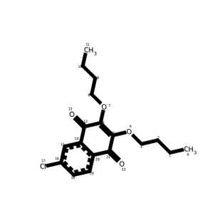 CCCCOC1=C(OCCCC)C(=O)c2cc(Cl)ccc2C1=O